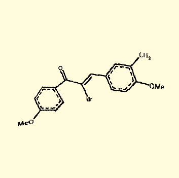 COc1ccc(C(=O)/C(Br)=C/c2ccc(OC)c(C)c2)cc1